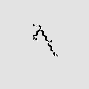 CCN(CCCCNCCCON)CCOC